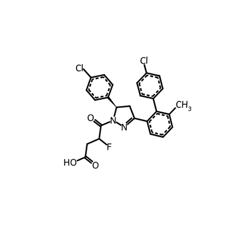 Cc1cccc(C2=NN(C(=O)C(F)CC(=O)O)[C@@H](c3ccc(Cl)cc3)C2)c1-c1ccc(Cl)cc1